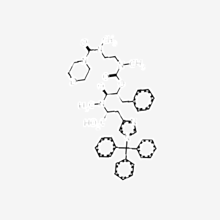 CN(CCN(C)C(=O)N1CCOCC1)C(=O)O[C@@H](Cc1ccccc1)C(=O)N(C)[C@@H](Cc1cn(C(c2ccccc2)(c2ccccc2)c2ccccc2)cn1)C(=O)O